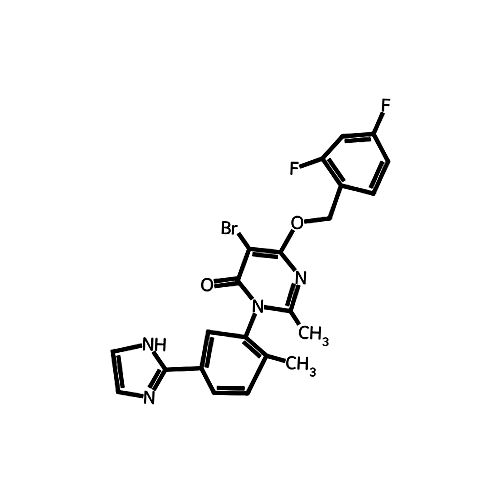 Cc1ccc(-c2ncc[nH]2)cc1-n1c(C)nc(OCc2ccc(F)cc2F)c(Br)c1=O